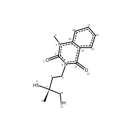 Cn1c(=O)n(CC[C@@](C)(S)CS)c(=O)c2ccccc21